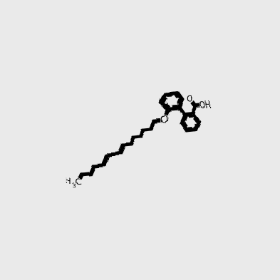 CCCCCCCCCCCCCCOc1ccccc1-c1ccccc1C(=O)O